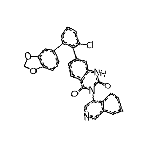 O=c1[nH]c2cc(-c3c(Cl)cccc3-c3ccc4c(c3)OCO4)ccc2c(=O)n1-c1cncc2ccccc12